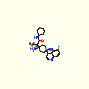 C[C@@H](C(=O)NC1CCCCC1)[C@]1(N)CC[C@](N)(c2ccnc3ccc(F)cc32)CC1